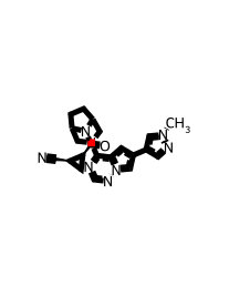 Cn1cc(-c2cc3c(N4CC5CCC(C4)N5C(=O)[C@H]4C[C@H]4C#N)ncnn3c2)cn1